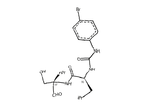 CCC[C@@](C=O)(CO)NC(=O)[C@H](CC(C)C)NC(=O)Nc1ccc(Br)cc1